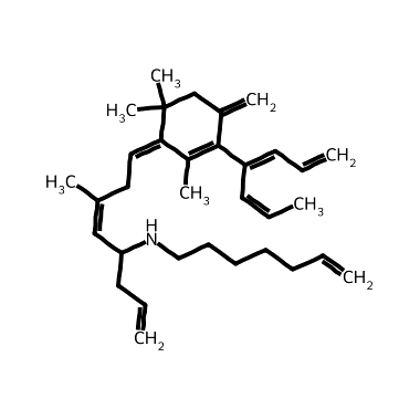 C=C/C=C(\C=C/C)C1=C(C)/C(=C\C/C(C)=C\C(CC=C)NCCCCCC=C)C(C)(C)CC1=C